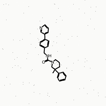 CC1(c2ccccc2)CCCN(C(=O)NCc2ccc(-c3cccnc3)cc2)C1